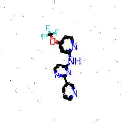 FC(F)(F)Oc1ccnc(Nc2ccnc(-c3cccnc3)n2)c1